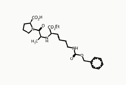 CCOC(=O)C(CCCCNC(=O)OCc1ccccc1)NC(C)C(=O)N1CCC[C@H]1C(=O)O